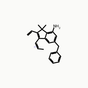 C=CC1=C(/C=C\C)c2cc(Cc3ccccc3)cc(N)c2C1(C)C